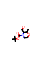 CC1OCCN(C(=O)OC(C)(C)C)C1C=O